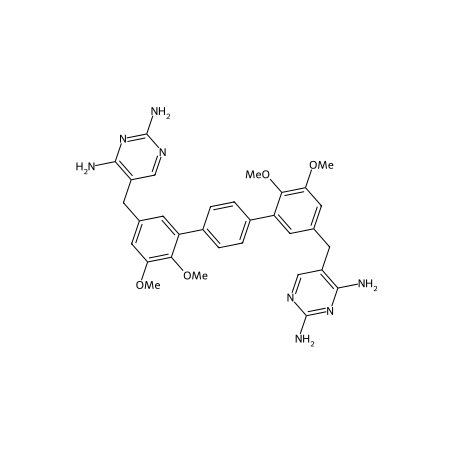 COc1cc(Cc2cnc(N)nc2N)cc(-c2ccc(-c3cc(Cc4cnc(N)nc4N)cc(OC)c3OC)cc2)c1OC